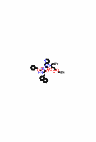 CCC(C)COC(=O)CC(O)C(CC(C)C)NC(=O)[C@H](Cc1ccccn1)NC(=O)[C@H](Cc1cccc2ccccc12)NC(=O)OCc1ccccc1